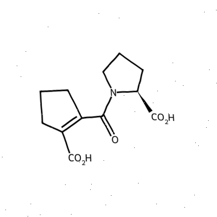 O=C(O)C1=C(C(=O)N2CCC[C@H]2C(=O)O)CCC1